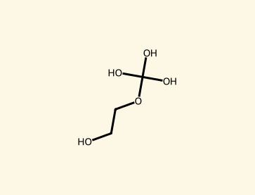 OCCOC(O)(O)O